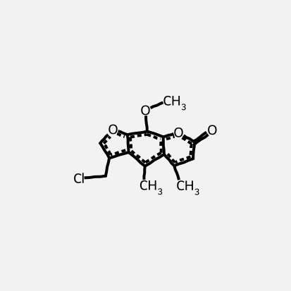 COc1c2oc(=O)cc(C)c2c(C)c2c(CCl)coc12